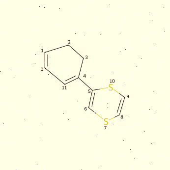 C1=CCCC(C2=CSC=CS2)=C1